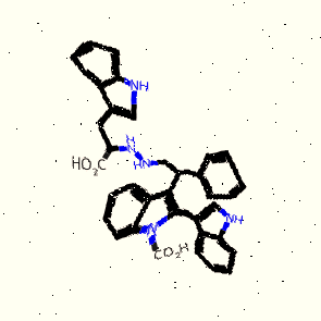 O=C(O)C(Cc1c[nH]c2ccccc12)NNCC(c1ccccc1)c1c(-c2c[nH]c3ccccc23)n(C(=O)O)c2ccccc12